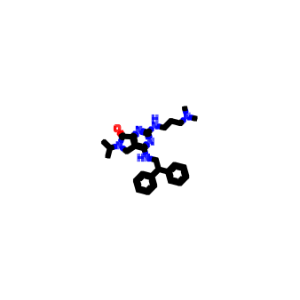 CC(C)N1Cc2c(NCC(c3ccccc3)c3ccccc3)nc(NCCCN(C)C)nc2C1=O